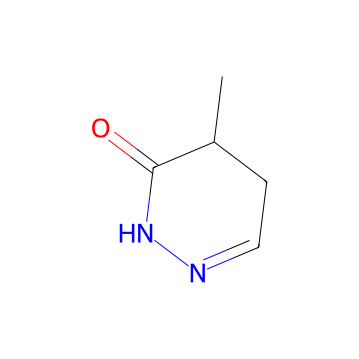 CC1CC=NNC1=O